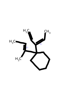 C=C/C(=C\C)C1(/C(C)=C/C)CCCCC1